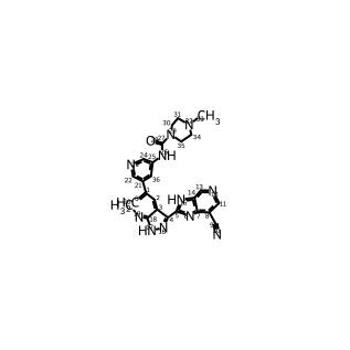 C=C(/C=C1/C(c2nc3c(C#N)cncc3[nH]2)=NN/C1=N/C)c1cncc(NC(=O)N2CCN(C)CC2)c1